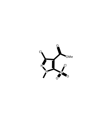 COC(=O)c1c(Cl)nn(C)c1S(=O)(=O)Cl